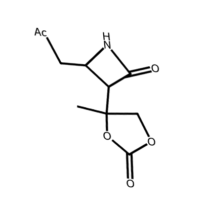 CC(=O)CC1NC(=O)C1C1(C)COC(=O)O1